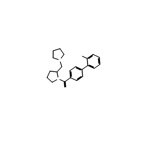 O=C(c1ccc(-c2ccccc2[N+](=O)[O-])cc1)N1CCCC1CN1CCCC1